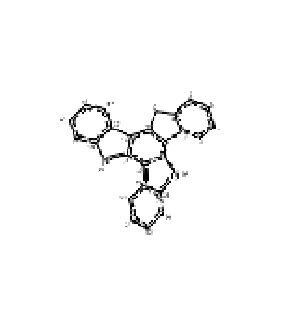 c1ccc2c(c1)Cc1c-2c2c(c3c1-c1ccccc1N=3)=c1ccccc1=N2